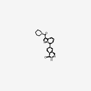 O=C(c1cnn2c(-c3ccc4c(=O)[nH]ncc4c3)cccc12)N1CCCCC1